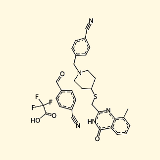 Cc1cccc2c(=O)[nH]c(CSC3CCN(Cc4ccc(C#N)cc4)CC3)nc12.N#Cc1ccc(C=O)cc1.O=C(O)C(F)(F)F